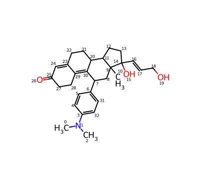 CN(C)c1ccc(C2CC3(C)C(CCC3(O)/C=C/CO)C3CCC4=CC(=O)CCC4=C23)cc1